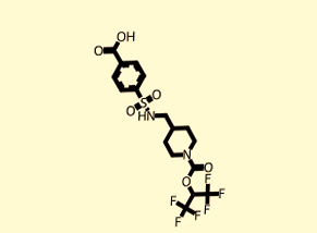 O=C(O)c1ccc(S(=O)(=O)NCC2CCN(C(=O)OC(C(F)(F)F)C(F)(F)F)CC2)cc1